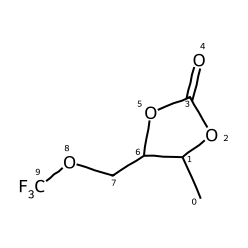 CC1OC(=O)OC1COC(F)(F)F